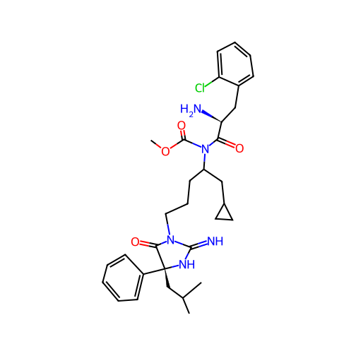 COC(=O)N(C(=O)[C@@H](N)Cc1ccccc1Cl)C(CCCN1C(=N)N[C@](CC(C)C)(c2ccccc2)C1=O)CC1CC1